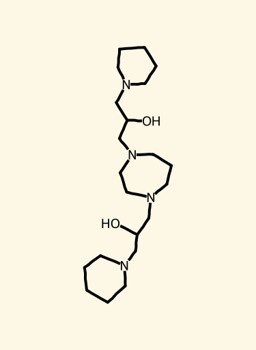 OC(CN1CCCCC1)CN1CCCN(CC(O)CN2CCCCC2)CC1